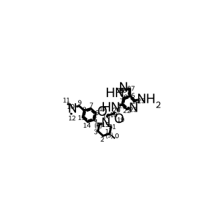 C[C@H]1CC[C@H](c2ccc(CN(C)C)cc2)N(C(=O)C(=O)Nc2cnc(N)c3cn[nH]c23)C1